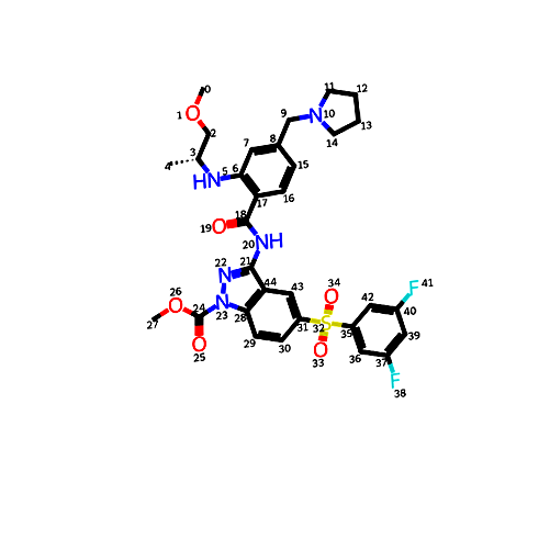 COC[C@@H](C)Nc1cc(CN2CCCC2)ccc1C(=O)Nc1nn(C(=O)OC)c2ccc(S(=O)(=O)c3cc(F)cc(F)c3)cc12